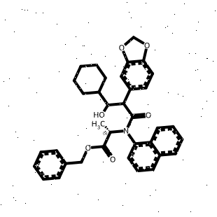 C[C@@H](C(=O)OCc1ccccc1)N(C(=O)C(c1ccc2c(c1)OCO2)C(O)C1CCCCC1)c1cccc2ccccc12